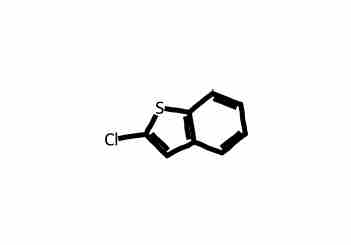 Clc1cc2ccc[c]c2s1